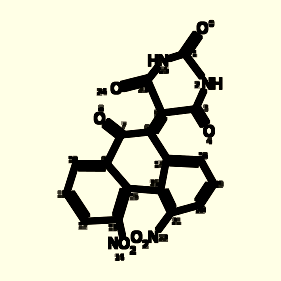 O=C1NC(=O)C(=C2C(=O)c3cccc([N+](=O)[O-])c3-c3c2cccc3[N+](=O)[O-])C(=O)N1